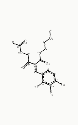 COCCOC(=O)C(=Cc1ccc(F)c(F)c1F)C(=O)COC(C)=O